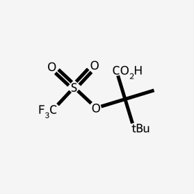 CC(C)(C)C(C)(OS(=O)(=O)C(F)(F)F)C(=O)O